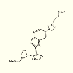 CNCCn1cc(-c2cnc3ccc(-c4nc[nH]c4-c4cccc(COC)c4)nc3c2)cn1